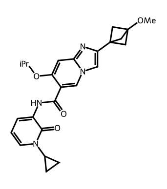 COC12CC(c3cn4cc(C(=O)Nc5cccn(C6CC6)c5=O)c(OC(C)C)cc4n3)(C1)C2